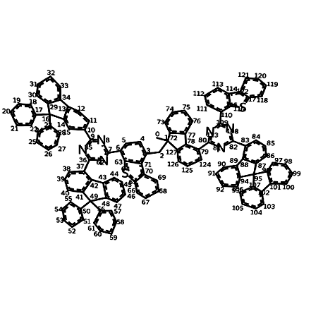 CC1(Cc2ccc(-c3nc(-c4ccc5c(c4)C(c4ccccc4)(c4ccccc4)c4ccccc4-5)nc(-c4cccc5c4-c4ccccc4C5(c4ccccc4)c4ccccc4)n3)c3sc4ccccc4c23)c2ccccc2-c2c(-c3nc(-c4cccc5c4-c4ccccc4C54c5ccccc5-c5ccccc54)nc(-c4cccc5c4sc4ccccc45)n3)cccc21